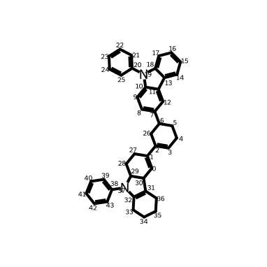 C1=C(C2=CCCC(c3ccc4c(c3)c3ccccc3n4-c3ccccc3)C2)CCC2C1C1=C(CCCC1)N2c1ccccc1